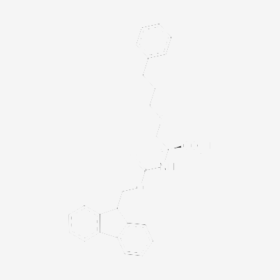 O=C(N[C@@H](CSCCCc1ccccc1)C(=O)O)OCC1c2ccccc2-c2ccccc21